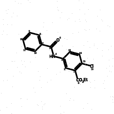 CCOC(=O)c1cc(NC(=O)c2ccccc2)ccc1Cl